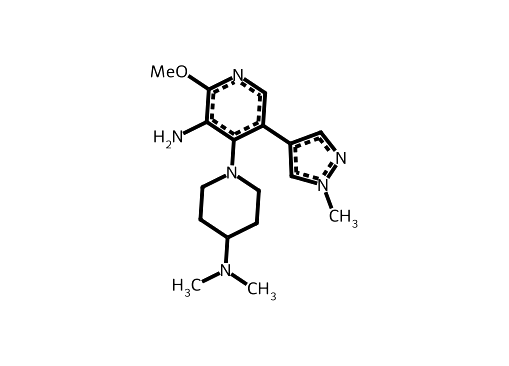 COc1ncc(-c2cnn(C)c2)c(N2CCC(N(C)C)CC2)c1N